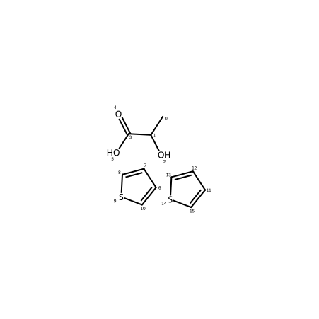 CC(O)C(=O)O.c1ccsc1.c1ccsc1